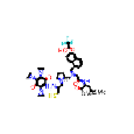 COC(=O)C(CCSC)NC(=O)CN(Cc1cccc2ccccc12)C[C@@H]1CCCN1CC(N)CS.O=C(O)C(F)(F)F.O=C1C=C(N2CC2)C(=O)C(N2CC2)=C1N1CC1